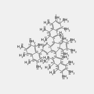 Bc1c(B)c(B)c2c(B)c(-c3c4ccc(-c5c(B)c(B)c(B)c6c(B)c(B)c(B)c(B)c56)cc4c(-c4c(B)c(B)c5c(B)c(B)c(B)c(B)c5c4B)c4c(B)c(B)c(B)c(B)c34)c(B)c(B)c2c1B